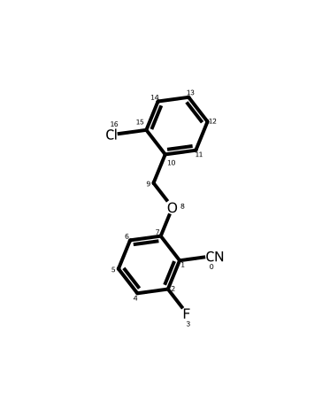 N#Cc1c(F)cccc1OCc1ccccc1Cl